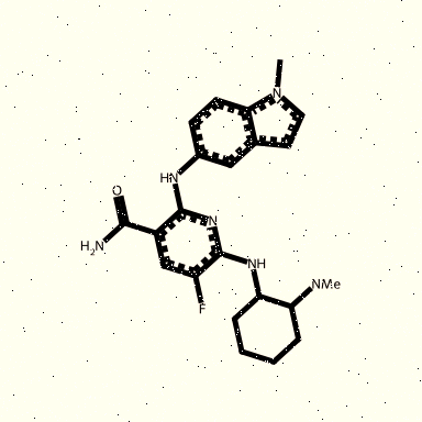 CNC1CCCCC1Nc1nc(Nc2ccc3c(ccn3C)c2)c(C(N)=O)cc1F